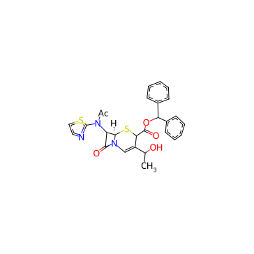 CC(=O)N(c1nccs1)C1C(=O)N2C=C(C(C)O)C(C(=O)OC(c3ccccc3)c3ccccc3)S[C@H]12